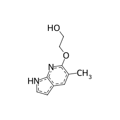 Cc1cc2cc[nH]c2nc1OCCO